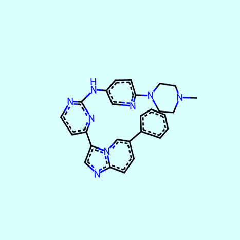 CN1CCN(c2ccc(Nc3nccc(-c4cnc5ccc(-c6ccccc6)cn45)n3)cn2)CC1